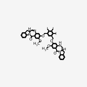 COc1cc2c(cc1OCc1cc(COc3cc4c(cc3OC)C(=O)N3c5ccccc5C[C@H]3CN4)c(I)c(I)c1I)N=C[C@@H]1Cc3ccccc3N1C2=O